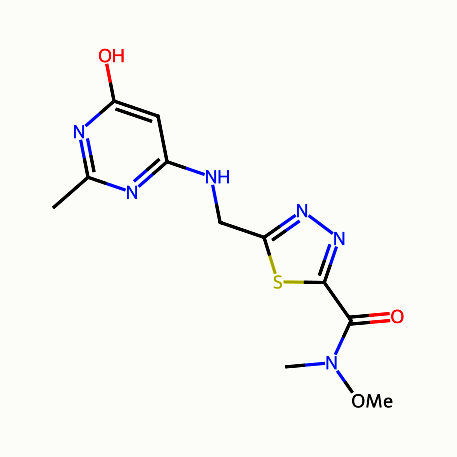 CON(C)C(=O)c1nnc(CNc2cc(O)nc(C)n2)s1